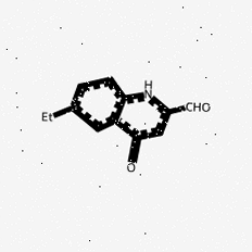 CCc1ccc2[nH]c(C=O)cc(=O)c2c1